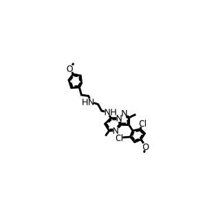 COc1ccc(CCNCCNc2cc(C)nc3c(-c4c(Cl)cc(OC)cc4Cl)c(C)nn23)cc1